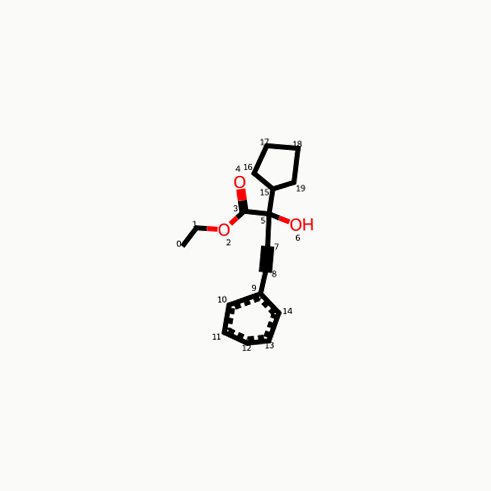 CCOC(=O)C(O)(C#Cc1ccccc1)C1CCCC1